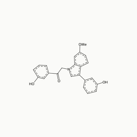 COc1ccc2c(-c3cccc(O)c3)cn(CC(=O)c3cccc(O)c3)c2c1